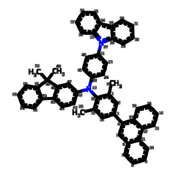 Cc1cc(-c2cc3ccccc3c3ccccc23)cc(C)c1N(c1ccc(-n2c3ccccc3c3ccccc32)cc1)c1ccc2c(c1)C(C)(C)c1ccccc1-2